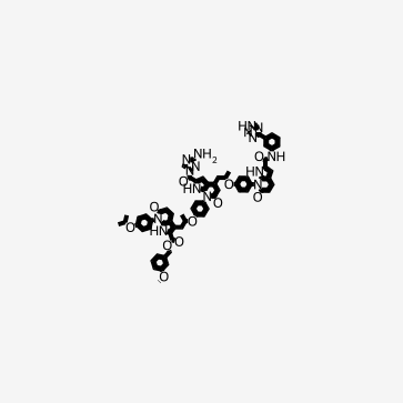 COc1cccc(COC(=O)c2[nH]c3c(ccc(=O)n3-c3ccc(OC(C)C)cc3)c2CC(C)Oc2ccc(-n3c(=O)cc(CC(C)Oc4ccc(-n5c(=O)ccc6cc(C(=O)Nc7cccc(-c8nn[nH]n8)c7)[nH]c65)cc4)c4cc(C(=O)n5cnc(N)n5)[nH]c43)cc2)c1